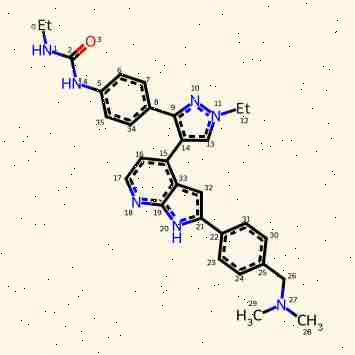 CCNC(=O)Nc1ccc(-c2nn(CC)cc2-c2ccnc3[nH]c(-c4ccc(CN(C)C)cc4)cc23)cc1